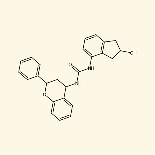 O=C(Nc1cccc2c1CC(O)C2)NC1CC(c2ccccc2)Oc2ccccc21